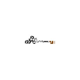 SCCCCCCCCCCc1cccc2c(-c3c4ccccc4cc4c3ccc3ccccc34)cccc12